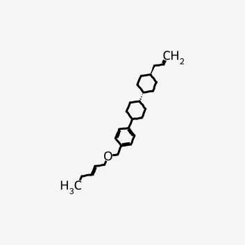 C=CC[C@H]1CC[C@H](C2CCC(c3ccc(COCC=CCC)cc3)CC2)CC1